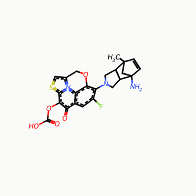 CC12C=CC(N)(C1)C1CN(c3c(F)cc4c(=O)c(OC(=O)O)c5scc6n5c4c3OC6)CC12